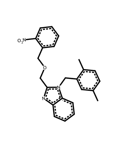 Cc1ccc(C)c(Cn2c(COCc3ccccc3[N+](=O)[O-])nc3ccccc32)c1